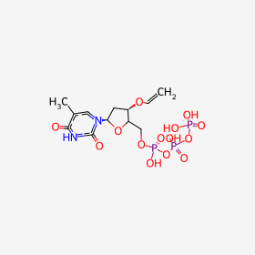 C=CO[C@@H]1C[C@H](n2cc(C)c(=O)[nH]c2=O)OC1COP(=O)(O)OP(=O)(O)OP(=O)(O)O